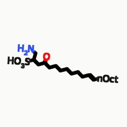 CCCCCCCCC=CCCCCCCCC(=O)CC(CN)S(=O)(=O)O